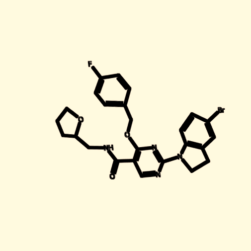 O=C(NCC1CCCO1)c1cnc(N2CCc3cc(Br)ccc32)nc1OCc1ccc(F)cc1